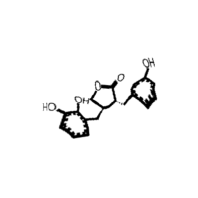 O=C1OC[C@H](Cc2cccc(O)c2O)[C@H]1Cc1cccc(O)c1